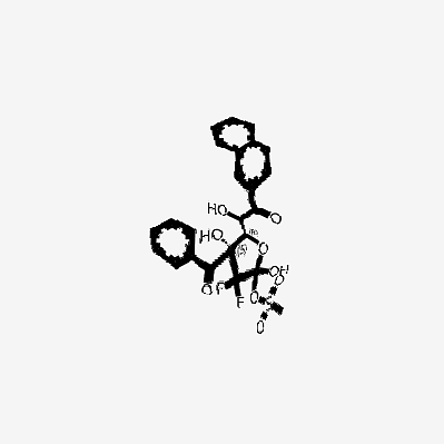 CS(=O)(=O)OC1(O)O[C@H](C(O)C(=O)c2ccc3ccccc3c2)[C@](O)(C(=O)c2ccccc2)C1(F)F